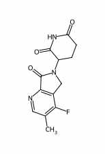 Cc1cnc2c(c1F)CN(C1CCC(=O)NC1=O)C2=O